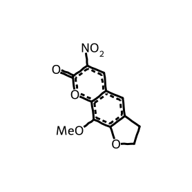 COc1c2c(cc3cc([N+](=O)[O-])c(=O)oc13)CCO2